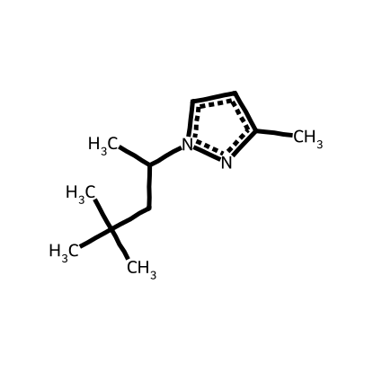 Cc1ccn(C(C)CC(C)(C)C)n1